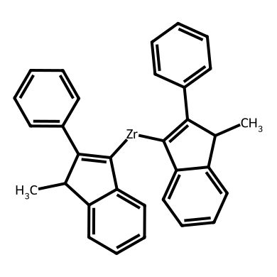 CC1C(c2ccccc2)=[C]([Zr][C]2=C(c3ccccc3)C(C)c3ccccc32)c2ccccc21